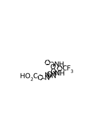 O=C(Cc1ccccc1)Nc1cc(NC(=O)[N-]c2c[n+](Cc3ccc(C(=O)O)cc3)no2)cc(C(F)(F)F)c1